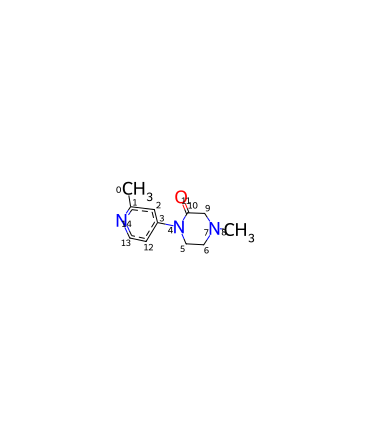 Cc1cc(N2CCN(C)CC2=O)ccn1